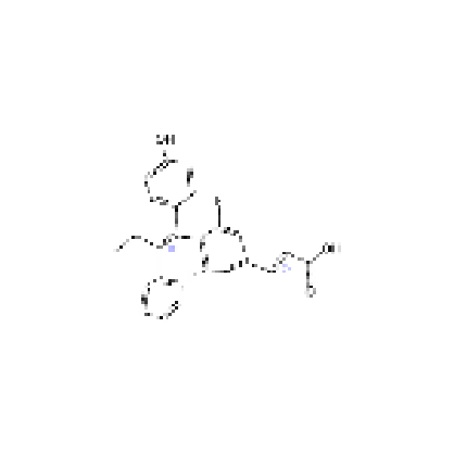 CC/C(=C(\c1ccc(O)cc1)c1c(F)cc(/C=C/C(=O)O)cc1F)c1ccccc1